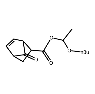 CCCCOC(C)OC(=O)C1CC2C=CC1C2=O